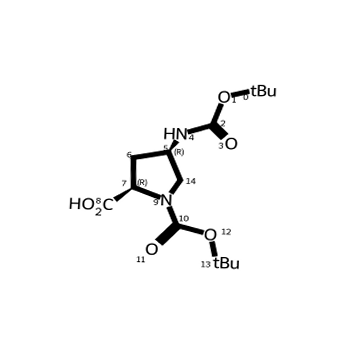 CC(C)(C)OC(=O)N[C@@H]1C[C@H](C(=O)O)N(C(=O)OC(C)(C)C)C1